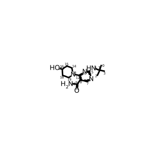 CC(C)(C)Nc1ncc(C(N)=O)c(N2CCC(O)CC2)n1